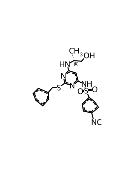 [C-]#[N+]c1ccc(S(=O)(=O)Nc2cc(N[C@H](C)CO)nc(SCc3ccccc3)n2)cc1